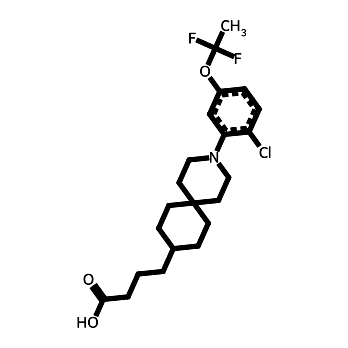 CC(F)(F)Oc1ccc(Cl)c(N2CCC3(CCC(CCCC(=O)O)CC3)CC2)c1